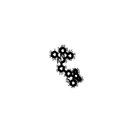 c1ccc(-c2nc(-c3cccc(-c4ccc5c(c4)Sc4ccccc4C54c5ccccc5-c5ccccc54)c3)cc(-c3ccccc3-c3ccccc3)n2)cc1